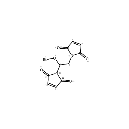 CCOC(CN1C(=O)C=CC1=O)N1C(=O)C=CC1=O